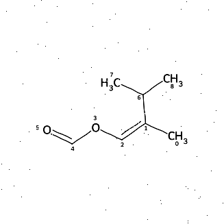 CC(=COC=O)C(C)C